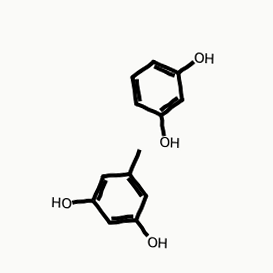 Cc1cc(O)cc(O)c1.Oc1cccc(O)c1